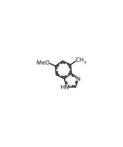 COc1cc(C)c2nc[nH]c2c1